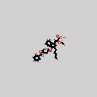 CCCCCc1cc(CC(OCC)C(=O)O)c2ccccc2c1OCCc1nc(-c2ccccc2)oc1C